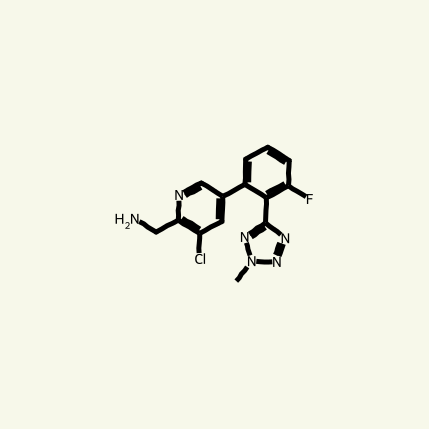 Cn1nnc(-c2c(F)cccc2-c2cnc(CN)c(Cl)c2)n1